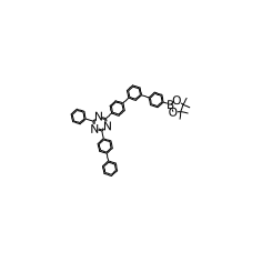 CC1(C)OB(c2ccc(-c3cccc(-c4ccc(-c5nc(-c6ccccc6)nc(-c6ccc(-c7ccccc7)cc6)n5)cc4)c3)cc2)OC1(C)C